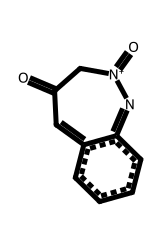 O=C1C=c2ccccc2=N[N+](=O)C1